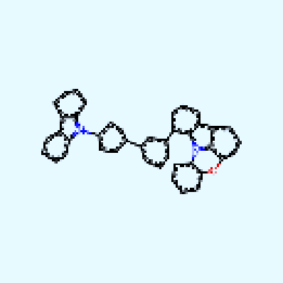 c1cc(-c2ccc(-n3c4ccccc4c4ccccc43)cc2)cc(-c2cccc3c4cccc5c4n(c23)-c2ccccc2O5)c1